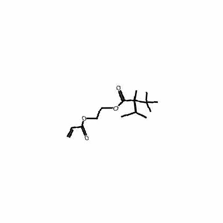 C=CC(=O)OCCOC(=O)C(C)(C(C)C)C(C)(C)C